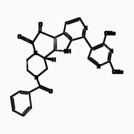 COc1ncc(-c2nccc3c4c([nH]c23)[C@@H]2CN(C(=O)c3ccccc3)CCN2C(=O)C4=O)c(OC)n1